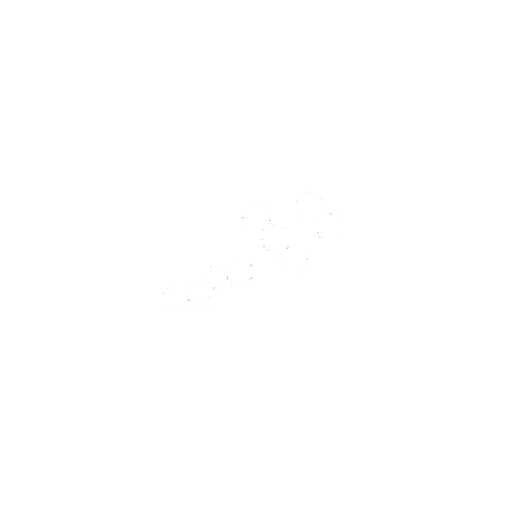 c1ccc2c(-c3c4ccccc4c(-c4ccc5c(c4)sc4c6ccccc6sc54)c4ccccc34)cccc2c1